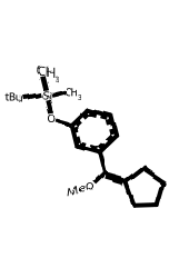 COC(=C1CCCC1)c1cccc(O[Si](C)(C)C(C)(C)C)c1